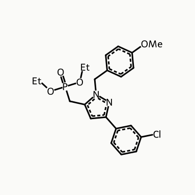 CCOP(=O)(Cc1cc(-c2cccc(Cl)c2)nn1Cc1ccc(OC)cc1)OCC